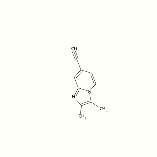 C#Cc1ccn2c(C)c(C)nc2c1